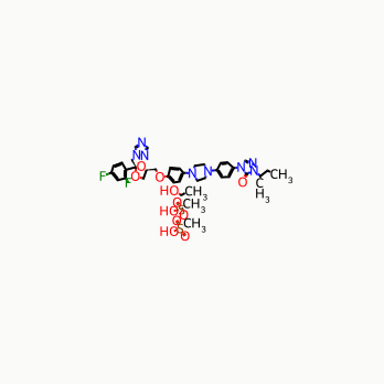 CCO.CC[C@H](C)n1ncn(-c2ccc(N3CCN(c4ccc(OC[C@H]5CO[C@](Cn6cncn6)(c6ccc(F)cc6F)O5)cc4)CC3)cc2)c1=O.CS(=O)(=O)O.CS(=O)(=O)O